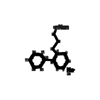 CCCCCCCCCCCCc1ccccc1-c1ccccc1.[Na]